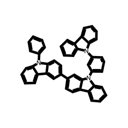 c1ccc(-n2c3ccccc3c3cc(-c4ccc5c6ccccc6n(-c6cccc(-n7c8ccccc8c8ccccc87)c6)c5c4)ccc32)cc1